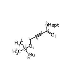 CCCCCCCC(=O)C#CCO[Si](C)(C)C(C)(C)C